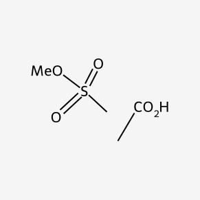 CC(=O)O.COS(C)(=O)=O